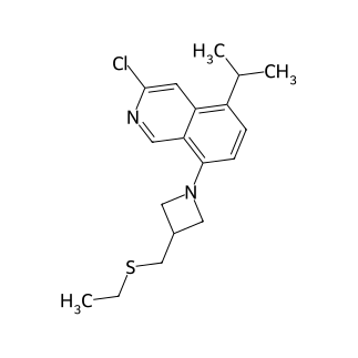 CCSCC1CN(c2ccc(C(C)C)c3cc(Cl)ncc23)C1